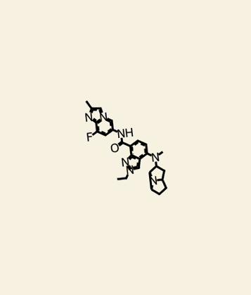 CCn1cc2c(N(C)C3CC4CCC5C3N45)ccc(C(=O)Nc3cc(F)c4nc(C)cn4c3)c2n1